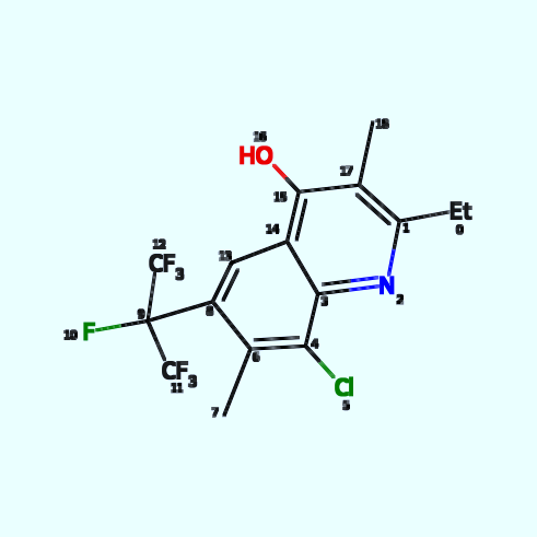 CCc1nc2c(Cl)c(C)c(C(F)(C(F)(F)F)C(F)(F)F)cc2c(O)c1C